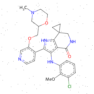 COc1c(Cl)cccc1Nc1c(-c2ccncc2OCC2CN(C)CCO2)[nH]c2c1C(=O)NCC21CC1